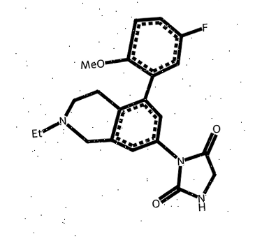 CCN1CCc2c(cc(N3C(=O)CNC3=O)cc2-c2cc(F)ccc2OC)C1